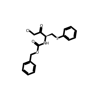 O=C(N[C@H](CSc1ccccc1)C(=O)CCl)OCc1ccccc1